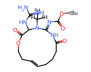 [2H]C([2H])([2H])N1C(=NC(=O)OC(C)(C)C)NC(=O)CCC/C=C/CCOC(=O)C1NC(=N)N